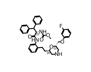 COC(=O)N[C@H](C(=O)Nc1ccccc1CC[C@@H]1CNC[C@@H](COc2cccc(F)c2)O1)C(c1ccccc1)c1ccccc1